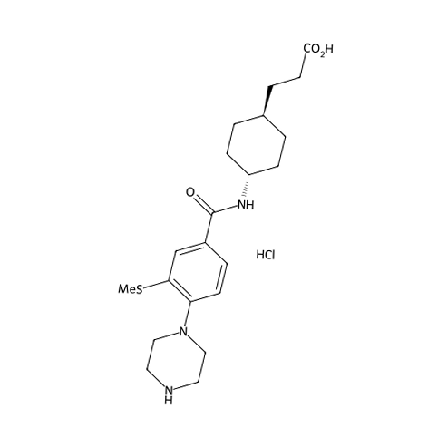 CSc1cc(C(=O)N[C@H]2CC[C@H](CCC(=O)O)CC2)ccc1N1CCNCC1.Cl